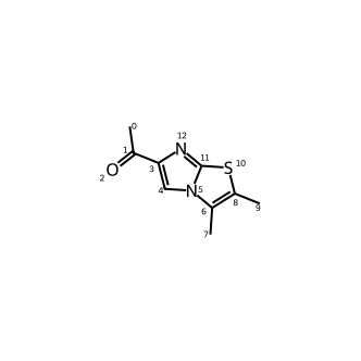 CC(=O)c1cn2c(C)c(C)sc2n1